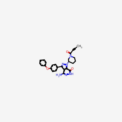 CC#CC(=O)N1CCC[C@@H](n2nc(-c3ccc(Oc4ccccc4)cc3)c3c(N)n[nH]c(=O)c32)C1